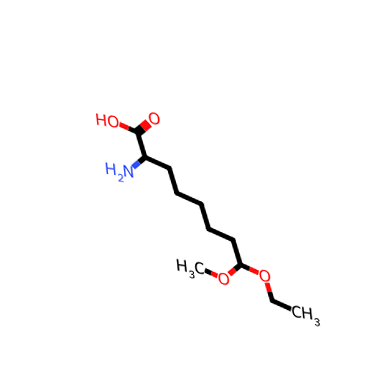 CCOC(CCCCCC(N)C(=O)O)OC